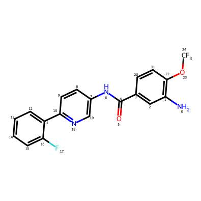 Nc1cc(C(=O)Nc2ccc(-c3ccccc3F)nc2)ccc1OC(F)(F)F